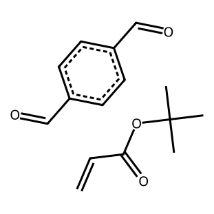 C=CC(=O)OC(C)(C)C.O=Cc1ccc(C=O)cc1